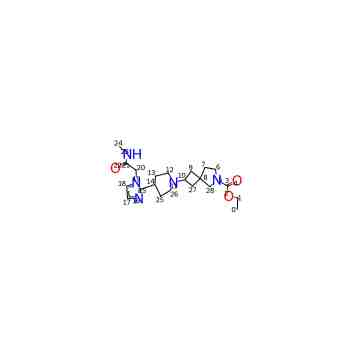 CCOC(=O)N1CCC2(CC(N3CCC(c4nccn4CC(=O)NC)CC3)C2)C1